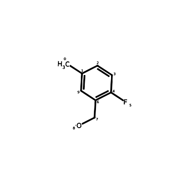 Cc1ccc(F)c(C[O])c1